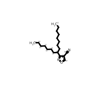 CCCCCCCCC(CCCCCCC)c1nocc1C#N